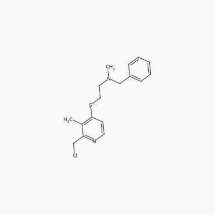 Cc1c(SCCN(C)Cc2ccccc2)ccnc1CCl